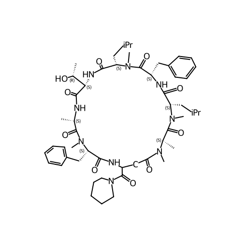 CC(C)C[C@H]1C(=O)N[C@@H]([C@@H](C)O)C(=O)N[C@@H](C)C(=O)N(C)[C@@H](Cc2ccccc2)C(=O)NC(C(=O)N2CCCCC2)CC(=O)N(C)[C@@H](C)C(=O)N(C)[C@@H](CC(C)C)C(=O)N[C@@H](Cc2ccccc2)C(=O)N1C